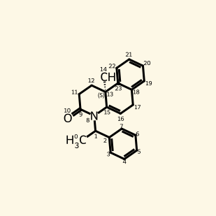 CC(c1ccccc1)N1C(=O)CC[C@]2(C)C1=CCc1ccccc12